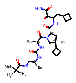 CNC(C)(C)C(=O)NC[C@@H](NC(=O)N[C@H](C(=O)N1C[C@](C(C)C)(C2CCC2)C[C@H]1C(=O)NC(CC1CCC1)C(=O)C(N)=O)C(C)(C)C)C(C)(C)C